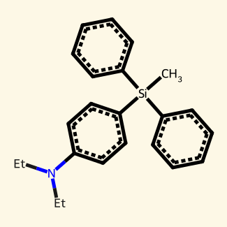 CCN(CC)c1ccc([Si](C)(c2ccccc2)c2ccccc2)cc1